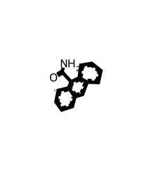 NC(=O)c1c2[c]cccc2cc2ccccc12